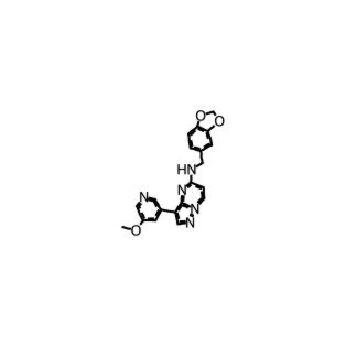 COc1cncc(-c2cnn3ccc(NCc4ccc5c(c4)OCO5)nc23)c1